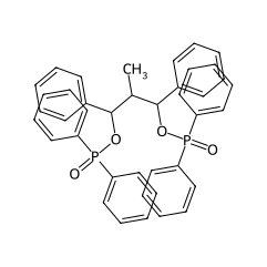 CC(C(OP(=O)(c1ccccc1)c1ccccc1)c1ccccc1)C(OP(=O)(c1ccccc1)c1ccccc1)c1ccccc1